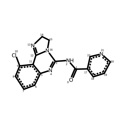 O=C(NC1=Nc2cccc(Cl)c2C2=NCCN12)c1cccnc1